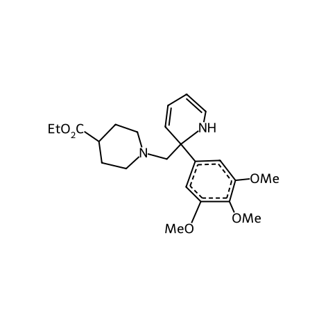 CCOC(=O)C1CCN(CC2(c3cc(OC)c(OC)c(OC)c3)C=CC=CN2)CC1